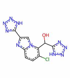 OC(c1nnn[nH]1)c1c(Cl)ccc2nc(-c3nnn[nH]3)cn12